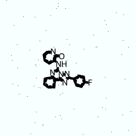 O=c1nccccc1Nc1nc2ccccc2c2nc(-c3ccc(F)cc3)nn12